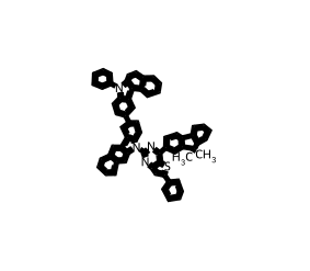 CC1(C)c2ccccc2-c2ccc(-c3nc(-n4c5ccc(-c6ccc7c(c6)c6c8ccccc8ccc6n7-c6ccccc6)cc5c5cc6ccccc6cc54)nc4cc(-c5ccccc5)sc34)cc21